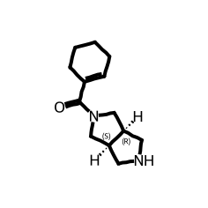 O=C(C1=CCCCC1)N1C[C@H]2CNC[C@H]2C1